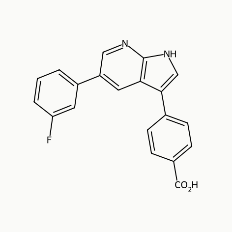 O=C(O)c1ccc(-c2c[nH]c3ncc(-c4cccc(F)c4)cc23)cc1